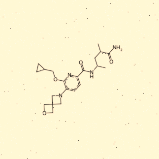 CC(CC(C)C(N)=O)NC(=O)c1ccc(N2CC3(COC3)C2)c(OCC2CC2)n1